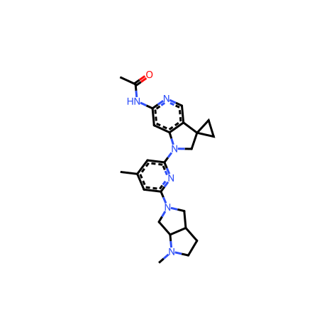 CC(=O)Nc1cc2c(cn1)C1(CC1)CN2c1cc(C)cc(N2CC3CCN(C)C3C2)n1